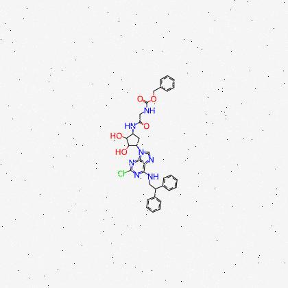 O=C(CNC(=O)OCc1ccccc1)N[C@H]1C[C@@H](n2cnc3c(NCC(c4ccccc4)c4ccccc4)nc(Cl)nc32)C(O)C1O